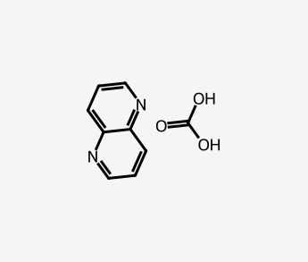 O=C(O)O.c1cnc2cccnc2c1